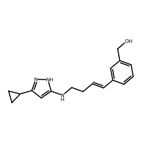 OCc1cccc(C=CCCNc2cc(C3CC3)n[nH]2)c1